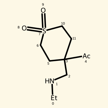 CCNCC1(C(C)=O)CCS(=O)(=O)CC1